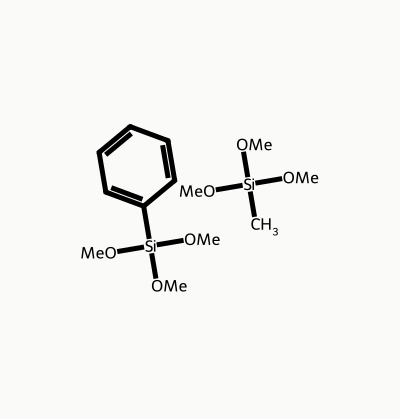 CO[Si](C)(OC)OC.CO[Si](OC)(OC)c1ccccc1